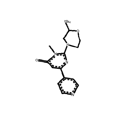 Cn1c(N2CCOC(C(C)(C)C)C2)nc(-c2ccncc2)cc1=O